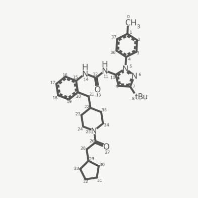 Cc1ccc(-n2nc(C(C)(C)C)cc2NC(=O)Nc2ccccc2CC2CCN(C(=O)CC3CCCC3)CC2)cc1